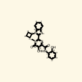 Cn1c(-c2nc3ccccc3n2C2CCC2)nc(C(=O)Nc2ccccc2O)c(O)c1=O